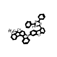 CC12CC=CC=C1c1c(ccc3c1c1ccccc1n3-c1ccc3c(c1)oc1cccc(C4N=C(c5ccccc5)N=C(c5ccccc5)N4)c13)C2(C)C